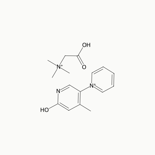 C[N+](C)(C)CC(=O)O.Cc1cc(O)ncc1-[n+]1ccccc1